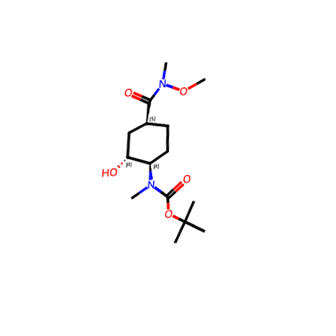 CON(C)C(=O)[C@H]1CC[C@@H](N(C)C(=O)OC(C)(C)C)[C@H](O)C1